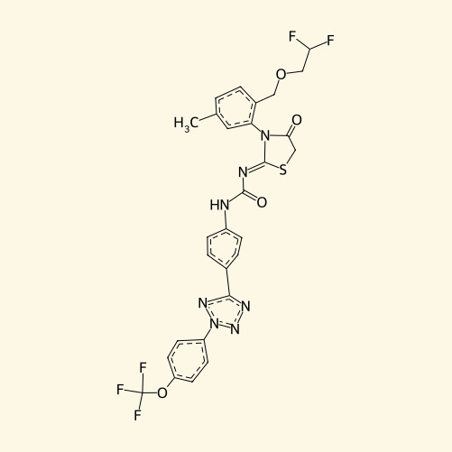 Cc1ccc(COCC(F)F)c(N2C(=O)CS/C2=N\C(=O)Nc2ccc(-c3nnn(-c4ccc(OC(F)(F)F)cc4)n3)cc2)c1